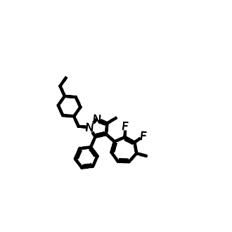 CCC1CCC(Cn2nc(C)c(C3=CC=CC(C)C(F)=C3F)c2-c2ccccc2)CC1